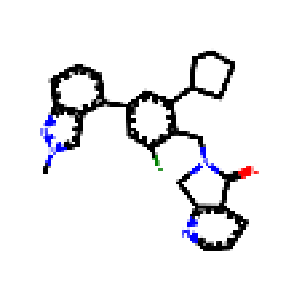 Cn1cc2c(-c3cc(F)c(CN4Cc5ncccc5C4=O)c(C4CCCC4)c3)cccc2n1